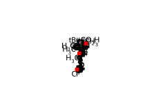 Cc1ncc(-c2ccc(N(C)CCOc3ccc(Cl)cc3)cn2)c(N2CCC(C)(C)CC2)c1C(OC(C)(C)C)C(=O)O